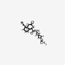 COC1CC2(CC(NC(=O)c3nc(Cl)cc4c(C#N)cccc34)C2)C1